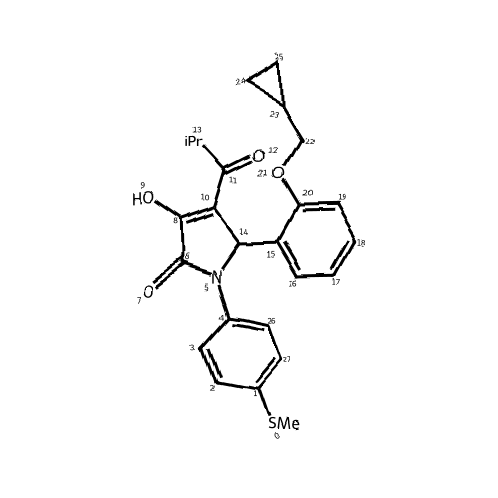 CSc1ccc(N2C(=O)C(O)=C(C(=O)C(C)C)C2c2ccccc2OCC2CC2)cc1